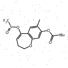 Cc1cc2c(cc1OC(=O)C(C)(C)C)OCCC=C2OS(=O)C(F)(F)F